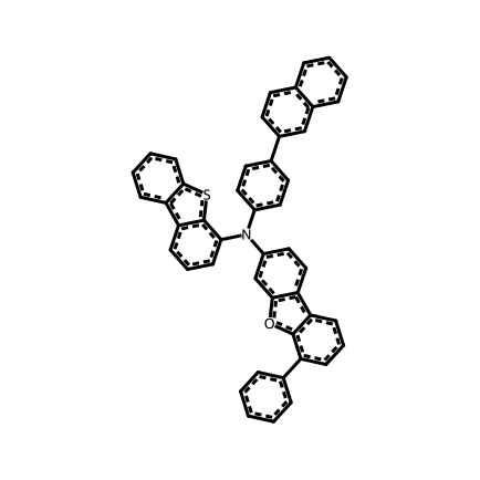 c1ccc(-c2cccc3c2oc2cc(N(c4ccc(-c5ccc6ccccc6c5)cc4)c4cccc5c4sc4ccccc45)ccc23)cc1